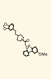 COc1ccc(F)c(-c2ccccc2OCC(=O)N2CCC(CCc3ccc4c(c3)OCO4)CC2)c1